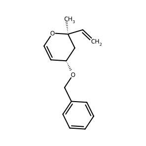 C=C[C@@]1(C)C[C@H](OCc2ccccc2)C=CO1